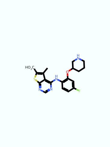 Cc1c(C(=O)O)sc2ncnc(Nc3ccc(F)cc3OC3CCCNC3)c12